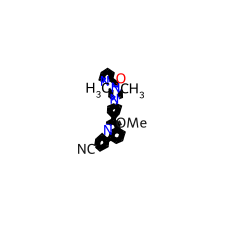 COc1c(-c2ccc(N3C[C@@H](C)N(C(=O)c4ccccn4)[C@@H](C)C3)cc2)cnc2c(-c3ccc(C#N)cc3)cccc12